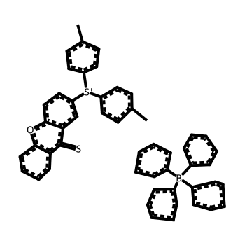 Cc1ccc([S+](c2ccc(C)cc2)c2ccc3oc4ccccc4c(=S)c3c2)cc1.c1ccc([B-](c2ccccc2)(c2ccccc2)c2ccccc2)cc1